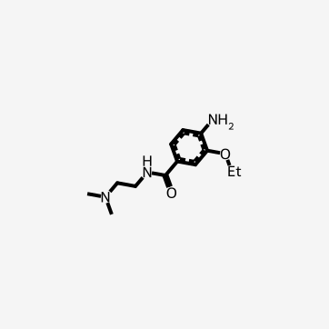 CCOc1cc(C(=O)NCCN(C)C)ccc1N